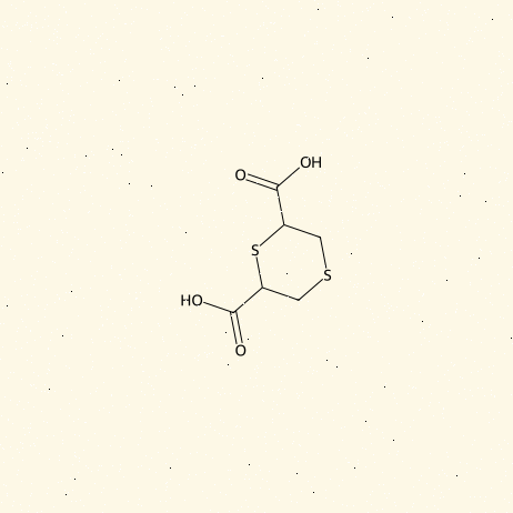 O=C(O)C1CSCC(C(=O)O)S1